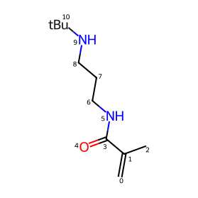 C=C(C)C(=O)NCCCNC(C)(C)C